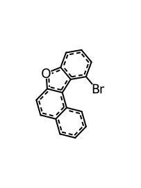 Brc1cccc2oc3ccc4ccccc4c3c12